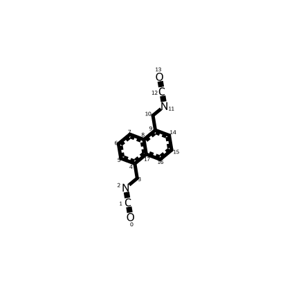 O=C=NCc1cccc2c(CN=C=O)cccc12